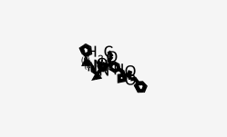 COCC1(c2nc(C3(CN[C@@H]4C[C@H]4c4ccccc4)CC3)no2)CCN(CC2(C(=O)OCc3ccccc3)CCC2)CC1